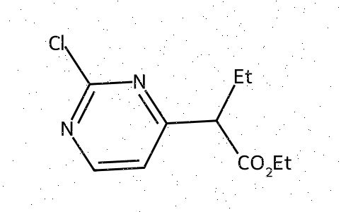 CCOC(=O)C(CC)c1ccnc(Cl)n1